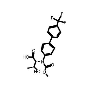 COC(=O)N(c1ccc(-c2ccc(C(F)(F)F)cc2)cc1)[C@@H](C(=O)O)[C@H](C)O